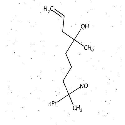 C=CCC(C)(O)CCCC(C)(CCC)N=O